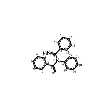 C=C(c1ccccc1)N(C(=N)c1ccccc1)c1ccccc1